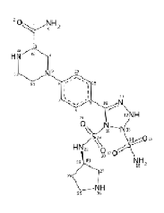 NC(=O)[C@@H]1CN(c2ccc(C3=NNN(S(N)(=O)=O)N3S(=O)(=O)N[C@@H]3CCNC3)cc2)CCN1